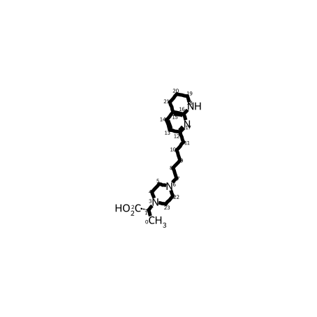 C[C@H](C(=O)O)N1CCN(CCCCCc2ccc3c(n2)NCCC3)CC1